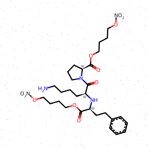 NCCCC[C@H](N[C@@H](CCc1ccccc1)C(=O)OCCCCO[N+](=O)[O-])C(=O)N1CCC[C@H]1C(=O)OCCCCO[N+](=O)[O-]